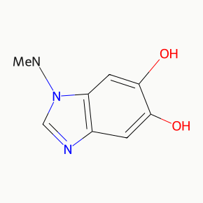 CNn1cnc2cc(O)c(O)cc21